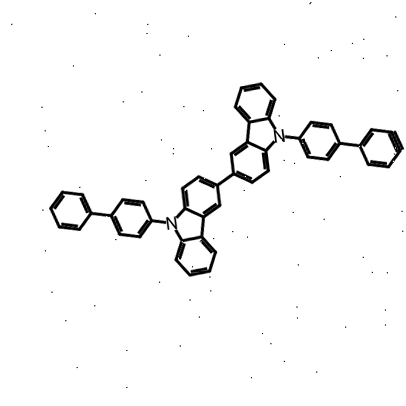 c1ccc(-c2ccc(-n3c4ccccc4c4cc(-c5ccc6c(c5)c5ccccc5n6-c5ccc(-c6ccccc6)cc5)ccc43)cc2)cc#1